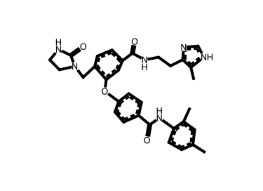 Cc1ccc(NC(=O)c2ccc(Oc3cc(C(=O)NCCc4nc[nH]c4C)ccc3CN3CCNC3=O)cc2)c(C)c1